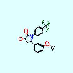 O=C1CC(c2cccc(OC3CC3)c2)N(c2ccc(C(F)(F)F)cc2)C1=O